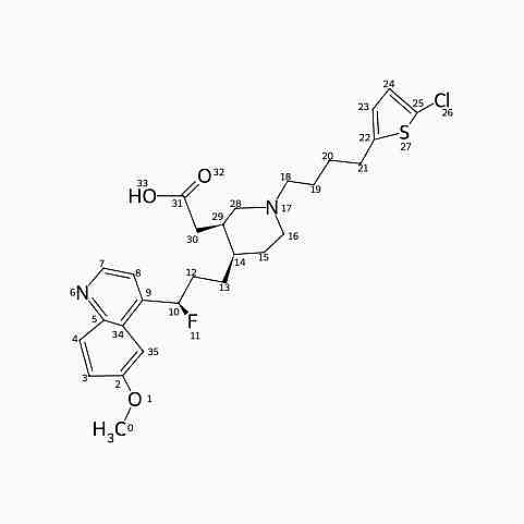 COc1ccc2nccc([C@H](F)CC[C@@H]3CCN(CCCCc4ccc(Cl)s4)C[C@@H]3CC(=O)O)c2c1